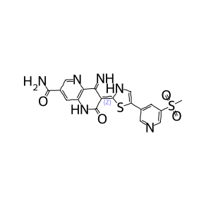 CS(=O)(=O)c1cncc(C2=CN/C(=C3\C(=N)c4ncc(C(N)=O)cc4NC3=O)S2)c1